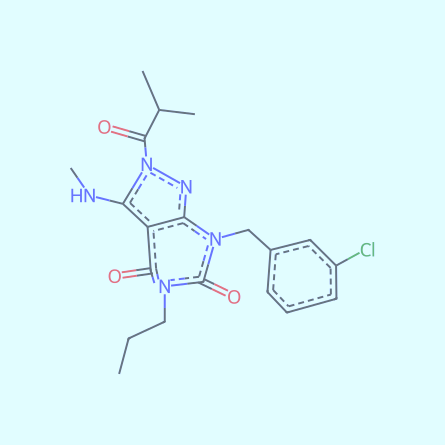 CCCn1c(=O)c2c(NC)n(C(=O)C(C)C)nc2n(Cc2cccc(Cl)c2)c1=O